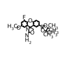 COc1cc(F)c2c(c1)[C@]1(COC(N)=N1)c1cc(B3OC(C)(C)C(C)(C)O3)ccc1O2